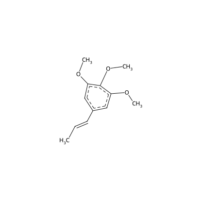 CC=Cc1cc(OC)c(OC)c(OC)c1